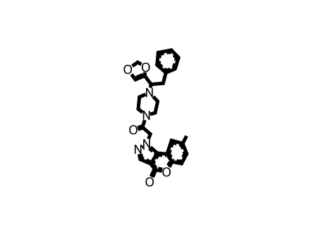 Cc1ccc2oc(=O)c3cnn(CC(=O)N4CCN(C(Cc5ccccc5)C5=COCO5)CC4)c3c2c1